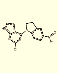 O=[N+]([O-])c1ccc2c(c1)CCN2c1nc(Cl)nc2[nH]cnc12